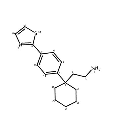 NCCC1(c2ccc(-c3nccs3)cc2)CCCCC1